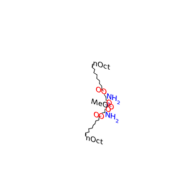 CCCCCCCC/C=C\CCCCCCCC(=O)OC[C@@H](N)COP(=O)(OC)OC[C@@H](N)COC(=O)CCCCCCC/C=C\CCCCCCCC